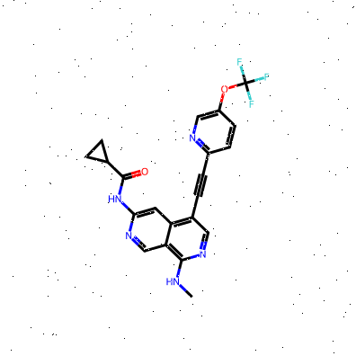 CNc1ncc(C#Cc2ccc(OC(F)(F)F)cn2)c2cc(NC(=O)C3CC3)ncc12